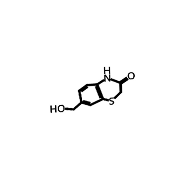 O=C1CSc2cc(CO)ccc2N1